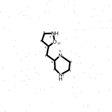 C1CNCC(CC2CCNO2)[N]1